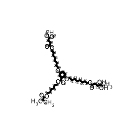 C=C(C)C(=O)OCCCCCCOC(=O)c1cc(OCCCCCCCCOC(=O)CCC(=O)OC)ccc1OCCCCCCCCOC(=O)CCC(C)(O)O